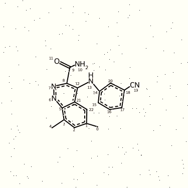 Cc1cc(C)c2nnc(C(N)=O)c(Nc3cccc(C#N)c3)c2c1